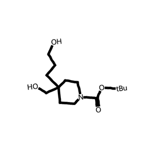 CC(C)(C)OC(=O)N1CCC(CO)(CCCO)CC1